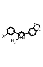 Cn1nc(-c2ccc3c(c2)OCO3)cc1-c1cccc(Br)c1